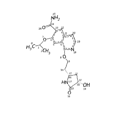 CC(C)Oc1cc2c(OCC[C@@H]3C[C@H](O)C(=O)N3)nccc2cc1C(N)=O